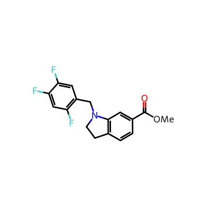 COC(=O)c1ccc2c(c1)N(Cc1cc(F)c(F)cc1F)CC2